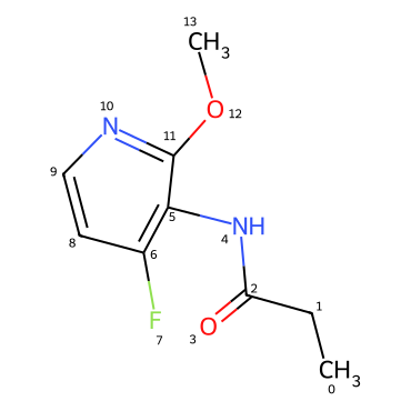 CCC(=O)Nc1c(F)ccnc1OC